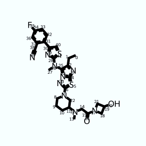 CCc1nc2sc(N3CCCC(N(C)CC(=O)N4CC(O)C4)C3)nn2c1N(C)c1nc(-c2ccc(F)cc2C#N)cs1